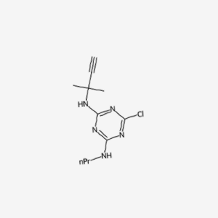 C#CC(C)(C)Nc1nc(Cl)nc(NCCC)n1